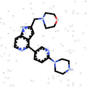 c1cc2[nH]c(CN3CCOCC3)cc2c(-c2ccc(N3CCNCC3)nc2)n1